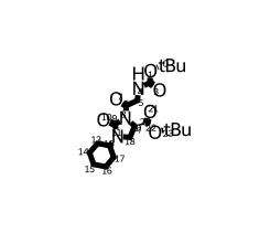 CC(C)(C)OC(=O)NCC(=O)N1C(=O)N(C2CCCCC2)C[C@H]1C(=O)OC(C)(C)C